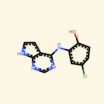 Oc1ccc(Cl)cc1Nc1ncnc2[nH]ccc12